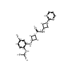 O=C(NC1CN(c2ncccn2)C1)[C@H]1C[C@H](Oc2cc(F)ccc2OC(F)F)C1